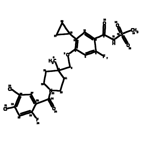 CC1(COc2cc(F)c(C(=O)NS(C)(=O)=O)cc2C2CC2)CCN(C(=O)c2cc(Cl)c(Cl)cc2F)CC1